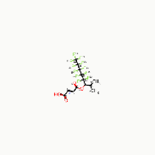 CC(C)C(OC(=O)/C=C/C(=O)O)C(F)(F)C(F)(F)C(F)(F)C(F)(F)C(F)(F)F